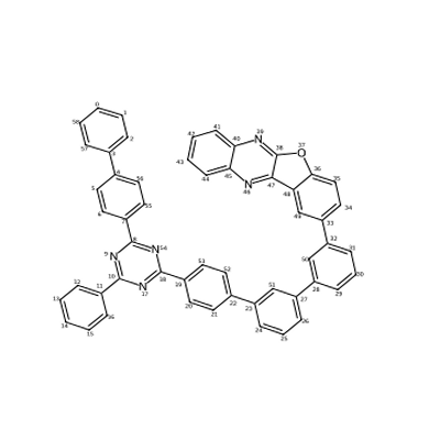 c1ccc(-c2ccc(-c3nc(-c4ccccc4)nc(-c4ccc(-c5cccc(-c6cccc(-c7ccc8oc9nc%10ccccc%10nc9c8c7)c6)c5)cc4)n3)cc2)cc1